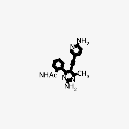 CC(=O)Nc1ccccc1-c1nc(N)nc(C)c1C#Cc1ccc(N)nc1